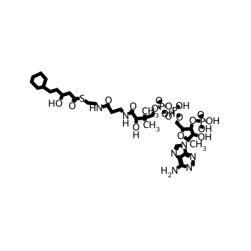 CC(C)(COP(=O)(O)OP(=O)(O)OCC1OC(C)(n2cnc3c(N)ncnc32)C(O)C1OP(=O)(O)O)C(O)C(=O)NCCC(=O)NCCSC(=O)CC(O)CCC1CCCCC1